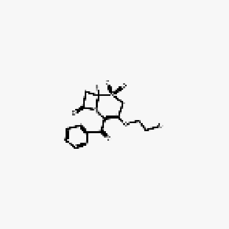 O=C(C1=C(OCCBr)CS(=O)(=O)[C@H]2CC(=O)N12)c1ccccc1